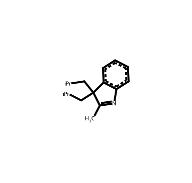 CC1=Nc2ccccc2C1(CC(C)C)CC(C)C